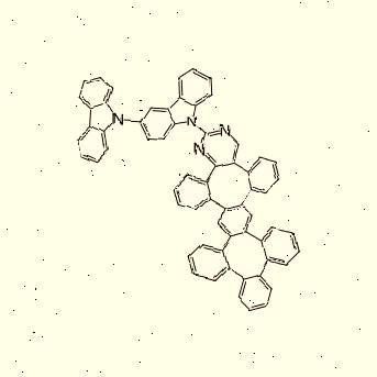 c1ccc2c(c1)c1ccccc1c1cc3c(cc1c1ccccc21)c1ccccc1c1nc(-n2c4ccccc4c4cc(-n5c6ccccc6c6ccccc65)ccc42)ncc1c1ccccc31